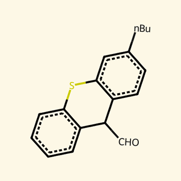 CCCCc1ccc2c(c1)Sc1ccccc1C2C=O